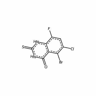 O=c1[nH]c(=S)[nH]c2c(F)cc(Cl)c(Br)c12